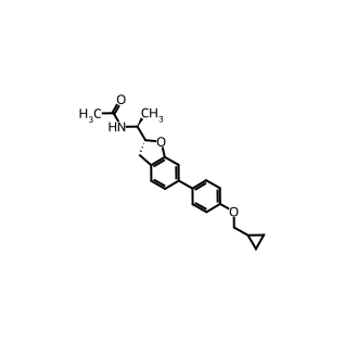 CC(=O)N[C@@H](C)[C@H]1Cc2ccc(-c3ccc(OCC4CC4)cc3)cc2O1